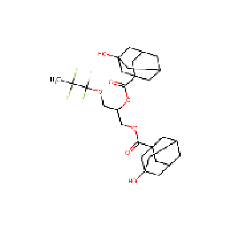 CC(F)(F)C(F)(F)OCC(COC(=O)C12CC3CC(CC(O)(C3)C1)C2)OC(=O)C12CC3CC(CC(O)(C3)C1)C2